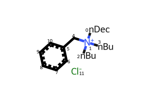 CCCCCCCCCC[N+](CCCC)(CCCC)Cc1ccccc1.[Cl-]